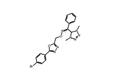 CN1N=NN(C)C1/C(=N\OCc1nnc(-c2ccc(Br)cc2)o1)c1ccccc1